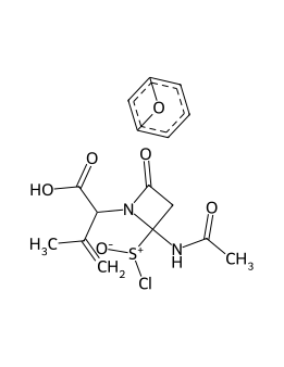 C=C(C)C(C(=O)O)N1C(=O)CC1(NC(C)=O)[S+]([O-])Cl.c1cc2cc(c1)O2